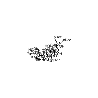 CCCCCCCCCCCCC/C=C/[C@@H](O)[C@H](CO[C@@H]1OC(CO)[C@@H](O[C@@H]2OC(CO)[C@H](O)[C@H](O[C@@H]3OC(CO)[C@@H](O[C@@H]4OC(CO[C@@H]5OC(CO)[C@@H](O[C@@H]6OC(CO)[C@H](O)[C@H](O)C6O)[C@H](O)C5NC(C)=O)[C@H](O)[C@H](O[C@@H]5OC(CO)[C@@H](O[C@@H]6OC(CO)[C@H](O)[C@H](O)C6O[C@H]6OC(C)[C@@H](O)C(O)[C@@H]6O)[C@H](O)C5NC(C)=O)C4O)[C@H](O)C3NC(C)=O)C2O)[C@H](O)C1O)NC(=O)CCCCCCCCCCCCCCC